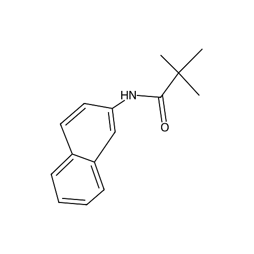 CC(C)(C)C(=O)Nc1ccc2ccccc2c1